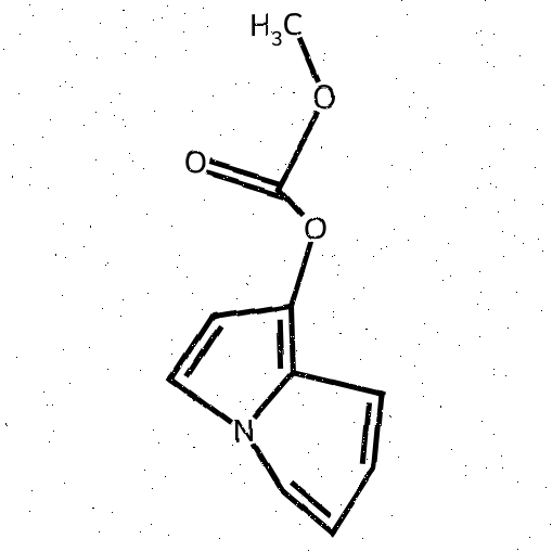 COC(=O)Oc1ccn2ccccc12